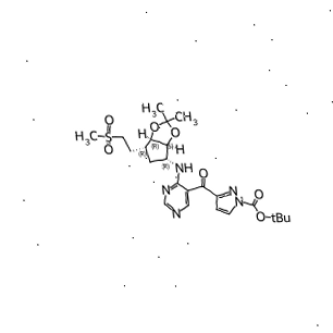 CC(C)(C)OC(=O)n1ccc(C(=O)c2cncnc2N[C@@H]2C[C@H](CCS(C)(=O)=O)[C@H]3OC(C)(C)O[C@H]32)n1